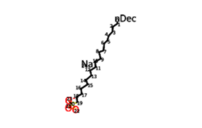 CCCCCCCCCCCCCCCCCCCCCCCCCCCCCS(=O)(=O)[O-].[Na+]